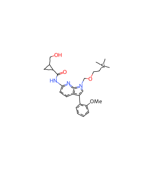 COc1ccccc1-c1cn(COCC[Si](C)(C)C)c2nc(NC(=O)C3CC3CO)ccc12